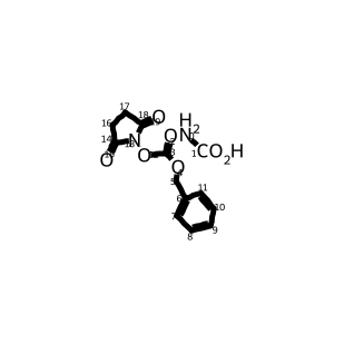 NC(=O)O.O=C(OCc1ccccc1)ON1C(=O)CCC1=O